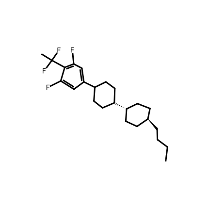 CCCC[C@H]1CC[C@H](C2CCC(c3cc(F)c(C(C)(F)F)c(F)c3)CC2)CC1